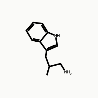 CC(CN)Cc1c[nH]c2ccccc12